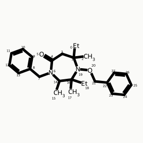 CCC1(C)CC(=O)N(Cc2ccccc2)C(C)C(C)(CC)N1OCc1ccccc1